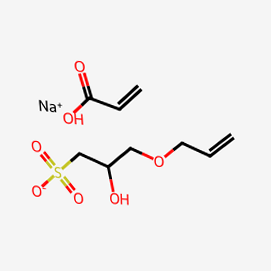 C=CC(=O)O.C=CCOCC(O)CS(=O)(=O)[O-].[Na+]